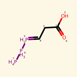 O=C(O)C/C=[PH2]/[PH3][PH4]